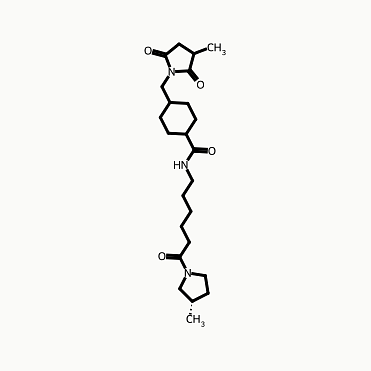 CC1CC(=O)N(CC2CCC(C(=O)NCCCCCC(=O)N3CC[C@H](C)C3)CC2)C1=O